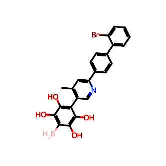 Bc1c(O)c(O)c(-c2cnc(-c3ccc(-c4ccccc4Br)cc3)cc2C)c(O)c1O